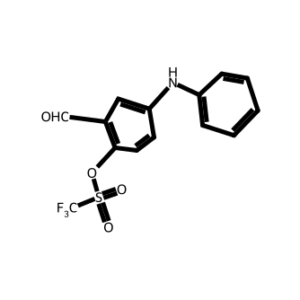 O=Cc1cc(Nc2ccccc2)ccc1OS(=O)(=O)C(F)(F)F